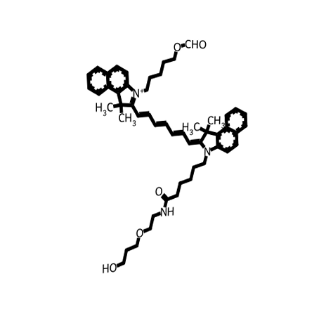 CC1(C)C(/C=C/C=C/C=C/C=C2/N(CCCCCC(=O)NCCOCCCO)c3ccc4ccccc4c3C2(C)C)=[N+](CCCCCOC=O)c2ccc3ccccc3c21